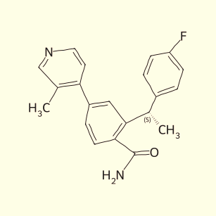 Cc1cnccc1-c1ccc(C(N)=O)c([C@@H](C)c2ccc(F)cc2)c1